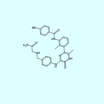 Cc1[nH]c(=O)c(Nc2ccc(CNCC(N)=O)cc2)nc1-c1cccc(NC(=O)c2ccc(C(C)(C)C)cc2)c1C